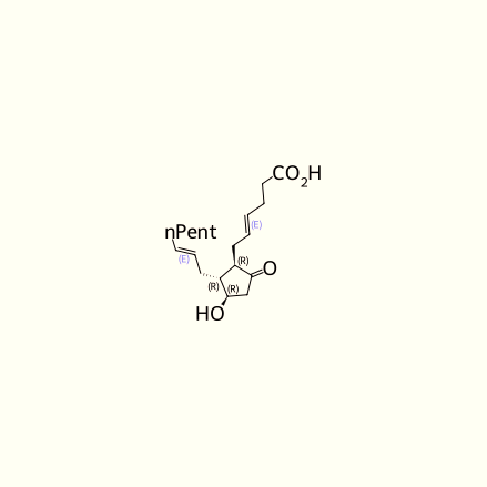 CCCCC/C=C/C[C@H]1[C@H](O)CC(=O)[C@@H]1C/C=C/CCC(=O)O